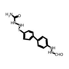 NC(=O)NNSc1ccc(-c2ccc(NNC=O)cc2)cc1